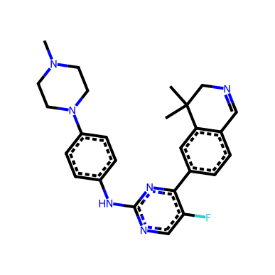 CN1CCN(c2ccc(Nc3ncc(F)c(-c4ccc5c(c4)C(C)(C)CN=C5)n3)cc2)CC1